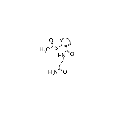 CC(=O)Sc1ccccc1C(=O)NCCC(N)=O